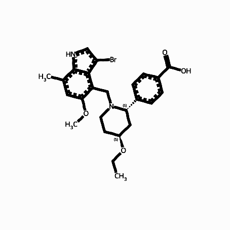 CCO[C@H]1CCN(Cc2c(OC)cc(C)c3[nH]cc(Br)c23)[C@H](c2ccc(C(=O)O)cc2)C1